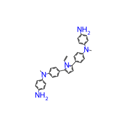 C=Cn1c(-c2ccc(N(C)c3ccc(N)cc3)cc2)ccc1-c1ccc(N(C)c2ccc(N)cc2)cc1